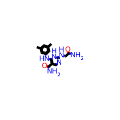 Cc1cc(C)cc(NC2=C(C(N)=O)C=NC(NCC(N)=O)N2)c1